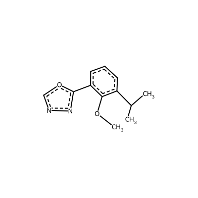 COc1c(-c2nnco2)cccc1C(C)C